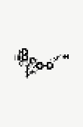 C=CCCCN(C(=O)Nc1c(C(C)C)cc(-c2cccc(OCCO)c2)cc1C(C)C)c1cc2cccnc2[nH]c1=O